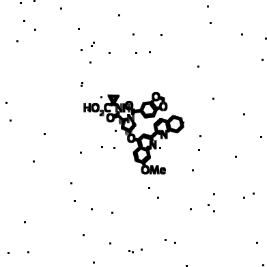 COc1ccc2c(O[C@@H]3C[C@@H](C(=O)NC4(C(=O)O)CC4)N(C(=O)C4C=CC5=C(C4)OCO5)C3)cc(-c3ccc4c(n3)CCCC4)nc2c1